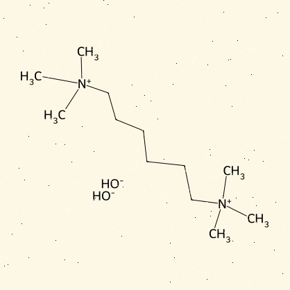 C[N+](C)(C)CCCCCC[N+](C)(C)C.[OH-].[OH-]